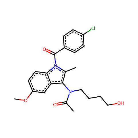 COc1ccc2c(c1)c(N(CCCCO)C(C)=O)c(C)n2C(=O)c1ccc(Cl)cc1